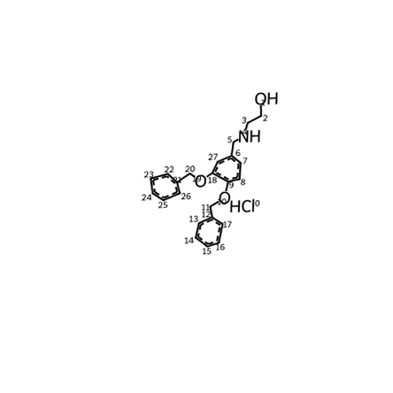 Cl.OCCNCc1ccc(OCc2ccccc2)c(OCc2ccccc2)c1